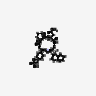 NC(=O)C[C@@H]1NC(=O)C2(CCCCC2)NC(=O)C[C@H](c2ccc(CP(=O)(O)O)cc2)/C=C/C[C@@H](Cc2cccc3ccccc23)CNC1=O